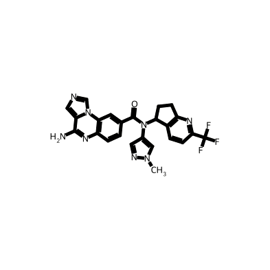 Cn1cc(N(C(=O)c2ccc3nc(N)c4cncn4c3c2)C2CCc3nc(C(F)(F)F)ccc32)cn1